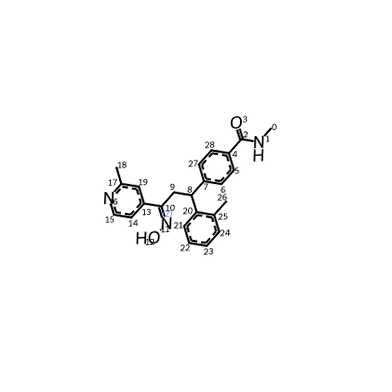 CNC(=O)c1ccc(C(C/C(=N/O)c2ccnc(C)c2)c2ccccc2C)cc1